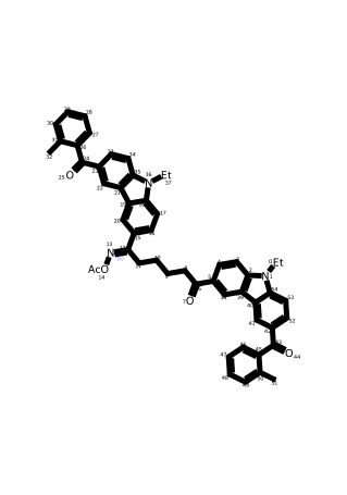 CCn1c2ccc(C(=O)CCCC/C(=N\OC(C)=O)c3ccc4c(c3)c3cc(C(=O)c5ccccc5C)ccc3n4CC)cc2c2cc(C(=O)c3ccccc3C)ccc21